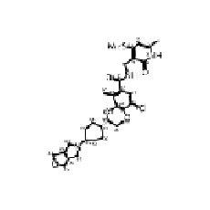 CSc1cc(C)[nH]c(=O)c1CNC(=O)c1cc(Cl)c2c(c1C)O[C@@H](C1CCC(N3CC4COCC4C3)CC1)CO2